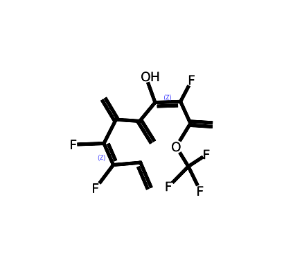 C=C/C(F)=C(/F)C(=C)C(=C)/C(O)=C(/F)C(=C)OC(F)(F)F